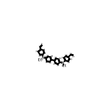 C=Cc1ccc(N(CC)c2ccc(-c3ccc(N(CC)c4ccc(C=C)cc4)cc3)cc2)cc1